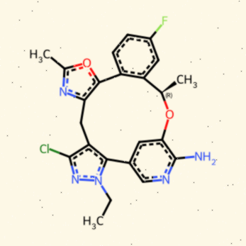 CCn1nc(Cl)c2c1-c1cnc(N)c(c1)O[C@H](C)c1cc(F)ccc1-c1oc(C)nc1C2